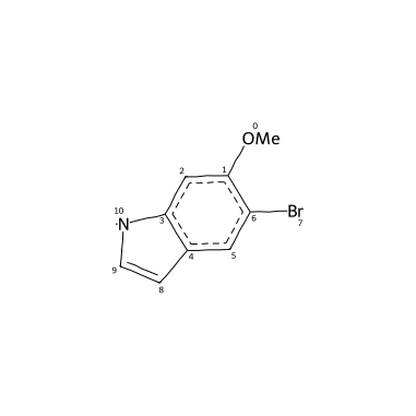 COc1cc2c(cc1Br)C=C[N]2